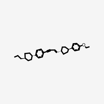 CCC[C@H]1CC[C@H](c2ccc(C#CC=C[C@H]3CC[C@H](c4ccc(OCC)cc4)CC3)cc2)CC1